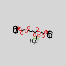 CC(F)(F)C(=O)OC(CCC(=O)OCC(=O)OC12CC3CC(C1)C(=O)C(C3)C2)C(=O)OCC(=O)OC12CC3CC(C1)C(=O)C(C3)C2